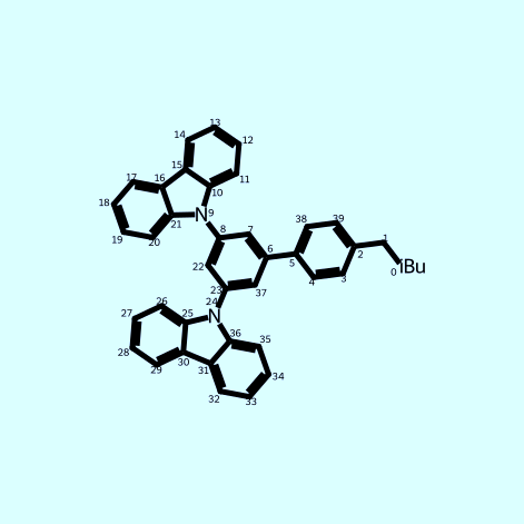 CCC(C)Cc1ccc(-c2cc(-n3c4ccccc4c4ccccc43)cc(-n3c4ccccc4c4ccccc43)c2)cc1